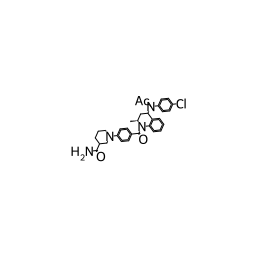 CC(=O)N(c1ccc(Cl)cc1)[C@@H]1C[C@H](C)N(C(=O)c2ccc(N3CCCC(C(N)=O)C3)cc2)c2ccccc21